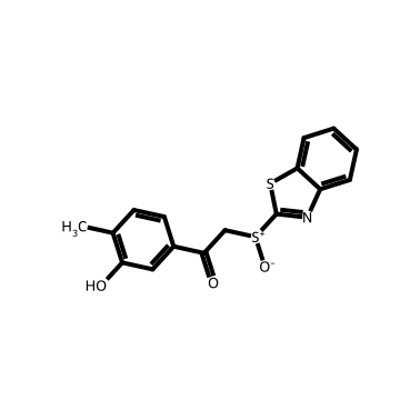 Cc1ccc(C(=O)C[S+]([O-])c2nc3ccccc3s2)cc1O